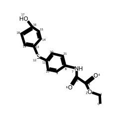 CCOC(=O)C(=O)Nc1ccc(Sc2ccc(O)cc2)cc1